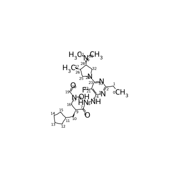 CCc1nc(NNC(=O)[C@@H](CC2CCCC2)CN(O)C=O)c(F)c(N2C[C@@H](C)[C@@H](N(C)C)C2)n1